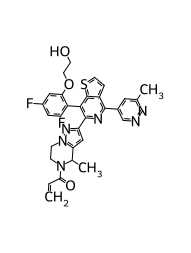 C=CC(=O)N1CCn2nc(-c3nc(-c4cnnc(C)c4)c4ccsc4c3-c3c(F)cc(F)cc3OCCO)cc2C1C